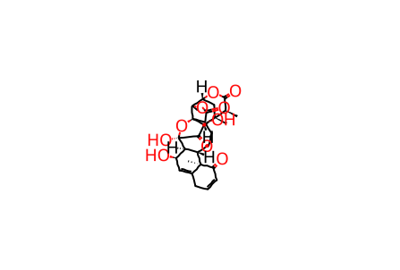 C[C@@H]1C(=O)O[C@@H]2C[C@@]1(C)[C@@H]1C(=O)[C@]3(O)O[C@]14[C@@]2(C)OC(=O)[C@@]4(O)CC[C@H]1[C@H]3[C@H](O)C=C2CC=CC(=O)[C@@]21C